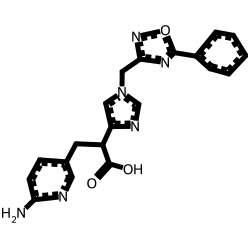 Nc1ccc(CC(C(=O)O)c2cn(Cc3noc(-c4ccccc4)n3)cn2)cn1